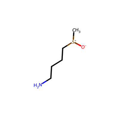 C[S+]([O-])CCCCN